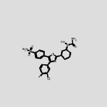 NC(=O)N(O)C1CCCC(c2nc(-c3ccc(F)c(Cl)c3)c(-c3ccc(S(N)(=O)=O)cc3)o2)C1